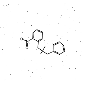 CC(C)(Cc1ccccc1)Cc1ccccc1[N+](=O)[O-]